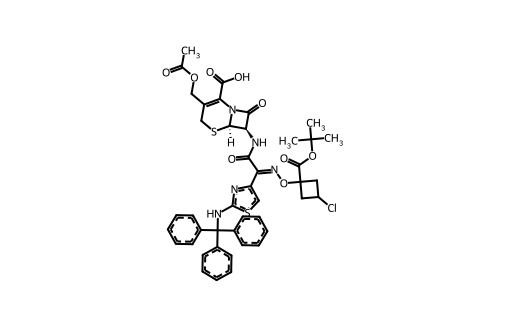 CC(=O)OCC1=C(C(=O)O)N2C(=O)[C@@H](NC(=O)C(=NOC3(C(=O)OC(C)(C)C)CC(Cl)C3)c3csc(NC(c4ccccc4)(c4ccccc4)c4ccccc4)n3)[C@H]2SC1